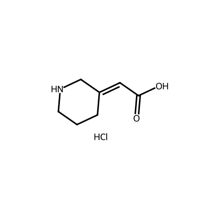 Cl.O=C(O)C=C1CCCNC1